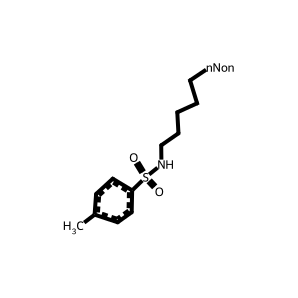 CCCCCCCCCCCCCCNS(=O)(=O)c1ccc(C)cc1